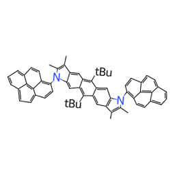 Cc1c(C)n(-c2ccc3ccc4cccc5ccc2c3c45)c2cc3c(C(C)(C)C)c4cc5c(C)c(C)n(-c6ccc7ccc8cccc9ccc6c7c89)c5cc4c(C(C)(C)C)c3cc12